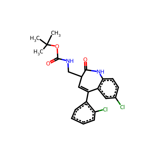 CC(C)(C)OC(=O)NCC1C=C(c2ccccc2Cl)c2cc(Cl)ccc2NC1=O